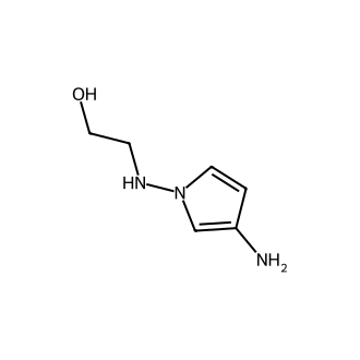 Nc1ccn(NCCO)c1